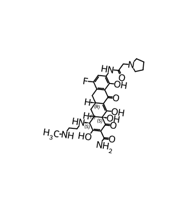 CNCCN[C@@H]1C(O)=C(C(N)=O)C(=O)[C@@]2(O)C(O)=C3C(=O)c4c(O)c(NC(=O)CN5CCCC5)cc(F)c4C[C@H]3C[C@@H]12